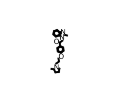 Cc1nc2ccccc2n1CC(=O)c1ccc(OCCCN2CCCC2C)cc1